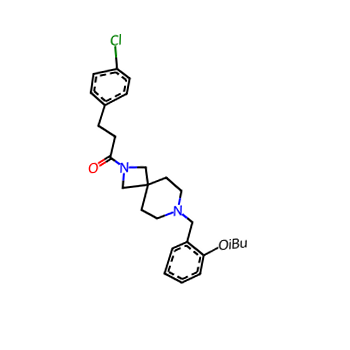 CC(C)COc1ccccc1CN1CCC2(CC1)CN(C(=O)CCc1ccc(Cl)cc1)C2